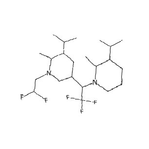 CC(C)C1CC(C(N2CCCC(C(C)C)C2C)C(F)(F)F)CN(CC(F)F)C1C